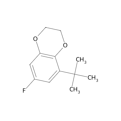 CC(C)(C)c1cc(F)cc2c1OCCO2